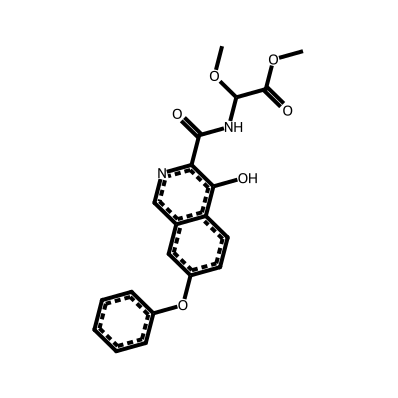 COC(=O)C(NC(=O)c1ncc2cc(Oc3ccccc3)ccc2c1O)OC